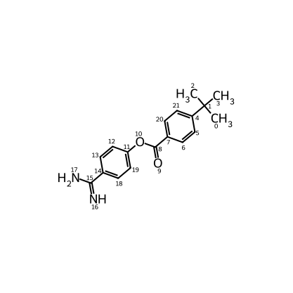 CC(C)(C)c1ccc(C(=O)Oc2ccc(C(=N)N)cc2)cc1